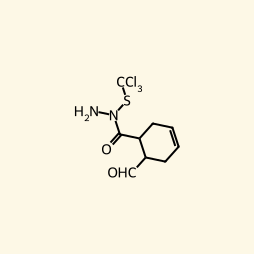 NN(SC(Cl)(Cl)Cl)C(=O)C1CC=CCC1C=O